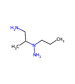 CCCN(N)C(C)CN